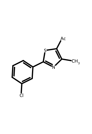 CC(=O)c1sc(-c2cccc(Cl)c2)nc1C